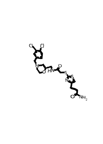 NC(=O)/C=C/c1csc(SCC(=O)NCC2CN(Cc3ccc(Cl)c(Cl)c3)CCO2)n1